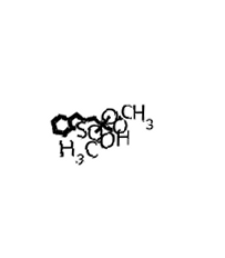 CCOC(Cc1cc2ccccc2s1)(OCC)C(=O)O